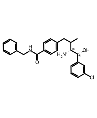 CC(Cc1ccc(C(=O)NCc2ccccc2)cc1)[C@@H](N)[C@H](O)c1cccc(Cl)c1